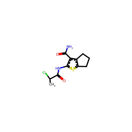 CC(Cl)C(=O)Nc1sc2c(c1C(N)=O)CCC2